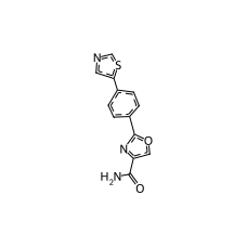 NC(=O)c1coc(-c2ccc(-c3cncs3)cc2)n1